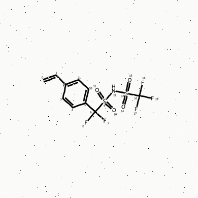 C=Cc1ccc(C(F)(F)S(=O)(=O)NS(=O)(=O)C(F)(F)F)cc1